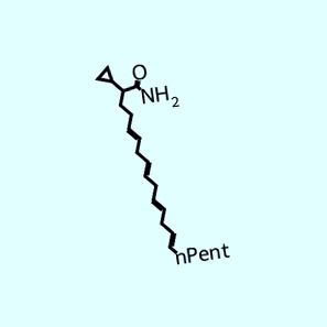 CCCCC/C=C/C/C=C/C/C=C/C/C=C/CCC(C(N)=O)C1CC1